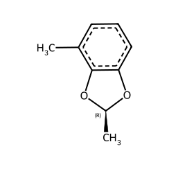 Cc1cccc2c1O[C@H](C)O2